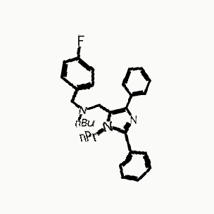 CCCCN(Cc1ccc(F)cc1)Cc1c(-c2ccccc2)nc(-c2ccccc2)n1CCC